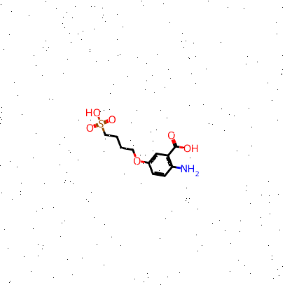 Nc1ccc(OCCCCS(=O)(=O)O)cc1C(=O)O